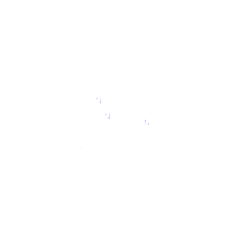 Cc1cc(Br)n(-c2ccccn2)n1